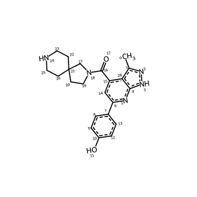 Cc1n[nH]c2nc(-c3ccc(O)cc3)cc(C(=O)N3CCC4(CCNCC4)C3)c12